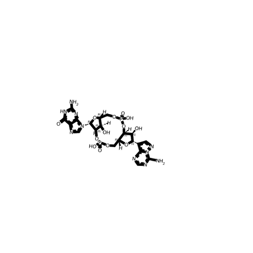 Nc1nc2c(ncn2[C@@H]2O[C@@H]3COP(=O)(O)O[C@H]4[C@@H](O)[C@H](c5cnn6c(N)ncnc56)O[C@@H]4COP(=O)(O)O[C@@H]2[C@@H]3O)c(=O)[nH]1